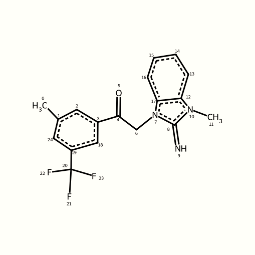 Cc1cc(C(=O)Cn2c(=N)n(C)c3ccccc32)cc(C(F)(F)F)c1